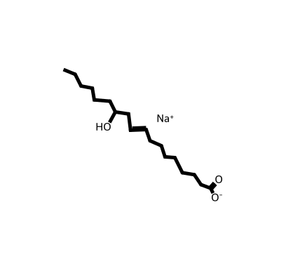 CCCCCCC(O)CC=CCCCCCCCC(=O)[O-].[Na+]